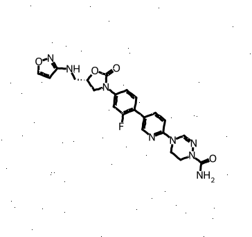 NC(=O)N1CCN(c2ccc(-c3ccc(N4C[C@H](CNc5ccon5)OC4=O)cc3F)cn2)C=N1